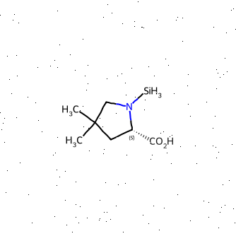 CC1(C)C[C@@H](C(=O)O)N([SiH3])C1